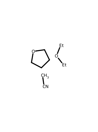 C1CCOC1.CC#N.CCOCC